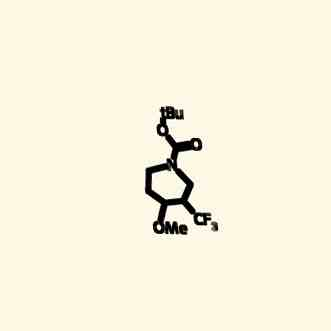 COC1CCN(C(=O)OC(C)(C)C)CC1C(F)(F)F